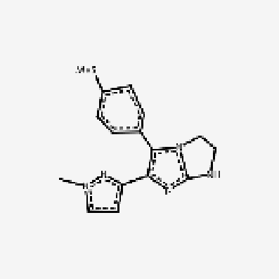 CSc1ccc(-c2c(-c3ccn(C)n3)nc3n2CCN3)cc1